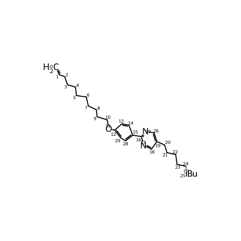 C=CCCCCCCCCCOc1ccc(-c2ncc(CCCCC[C@@H](C)CC)cn2)cc1